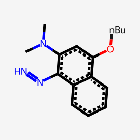 CCCCOc1cc(N(C)C)c(N=N)c2ccccc12